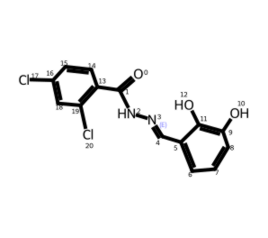 O=C(N/N=C/c1cccc(O)c1O)c1ccc(Cl)cc1Cl